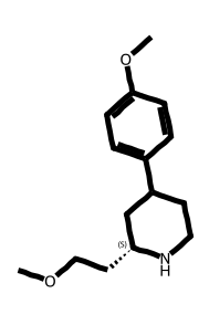 COCC[C@@H]1CC(c2ccc(OC)cc2)CCN1